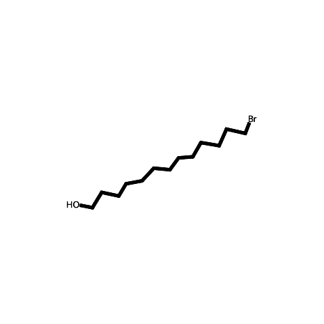 OCCCCCCCCCCCCCBr